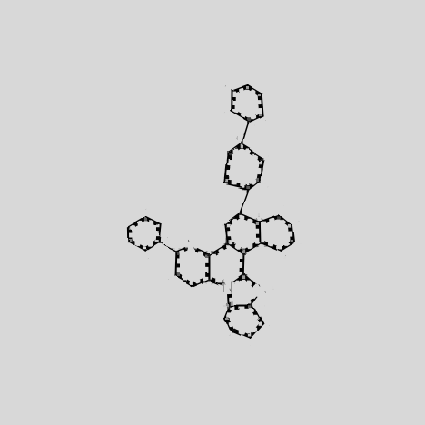 c1ccc(-c2ccc(-c3cc4c5nc(-c6ccccc6)ccc5n5c6ccccc6nc5c4c4ccccc34)cc2)cc1